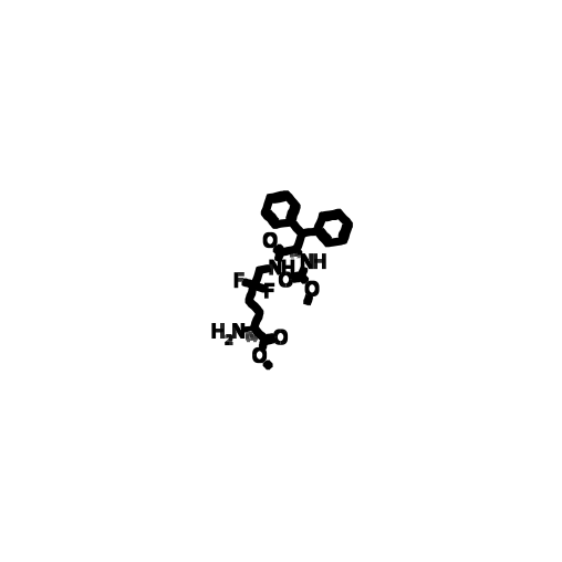 COC(=O)N[C@H](C(=O)NCC(F)(F)CC[C@H](N)C(=O)OC)C(c1ccccc1)c1ccccc1